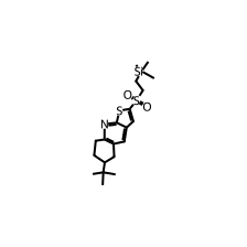 CC(C)(C)C1CCc2nc3sc(S(=O)(=O)CC[Si](C)(C)C)cc3cc2C1